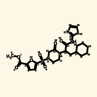 COC(=O)c1ccc(S(=O)(=O)N2CCN(C(CC3CCCCC3)C(=O)Nc3nccs3)C(=O)C2)o1